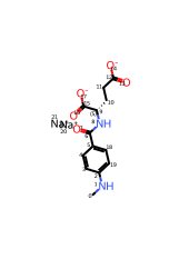 CNc1ccc(C(=O)N[C@@H](CCC(=O)[O-])C(=O)[O-])cc1.[Na+].[Na+]